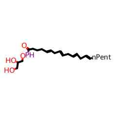 CCCCCC=CCC=CCC=CCC=CCCCC(=O)POCC(O)CO